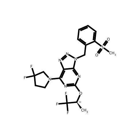 C[C@H](Oc1nc(N2CCC(F)(F)C2)c2nnn(Cc3ccccc3S(C)(=O)=O)c2n1)C(F)(F)F